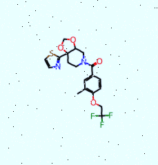 Cc1cc(C(=O)N2CCC3(c4nccs4)OCOC3C2)ccc1OCC(F)(F)F